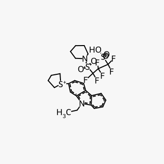 CCn1c2ccccc2c2ccc([S+]3CCCC3)cc21.O=S(=O)(O)C(F)(F)C(F)(F)C(F)(F)S(=O)(=O)N1CCCCC1